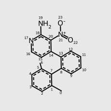 Cc1cccc(C)c1-c1ccccc1-c1ccnc(N)c1[N+](=O)[O-]